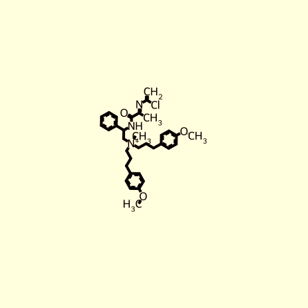 C=C(Cl)/N=C(\C)C(=O)NC(C[N+](C)(CCCc1ccc(OC)cc1)CCCc1ccc(OC)cc1)c1ccccc1